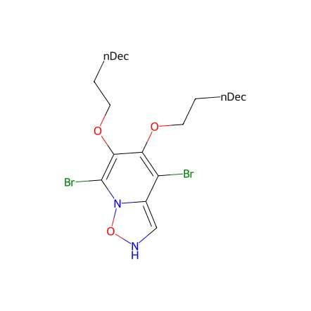 CCCCCCCCCCCCOC1=C(Br)C2=CNON2C(Br)=C1OCCCCCCCCCCCC